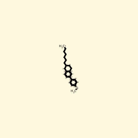 CCCCCCCC1CCc2cc(-c3ccc(OC)cc3)ccc2C1